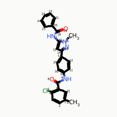 Cc1ccc(Cl)c(C(=O)Nc2ccc(-c3cc(NC(=O)c4ccccc4)n(C)n3)cc2)c1